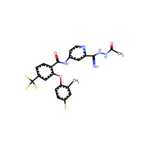 CC(=O)NNC(=N)c1cc(NC(=O)c2ccc(C(F)(F)F)cc2Oc2ccc(F)cc2C)ccn1